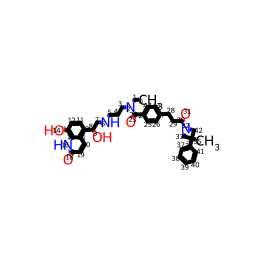 CCN(CCCNCC(O)c1ccc(O)c2[nH]c(=O)ccc12)C(=O)c1ccc(CCC(=O)N2CC(C)(c3ccccc3)C2)cc1